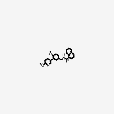 COc1ccc(-c2cc(CN[C@H](C)c3cccc4ccccc34)ccc2OC)cn1